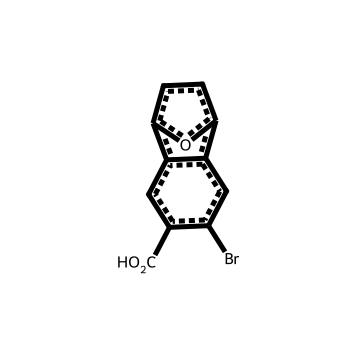 O=C(O)c1cc2c3ccc(o3)c2cc1Br